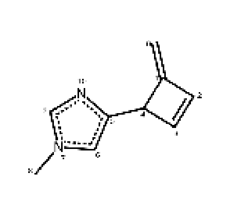 C=C1C=CC1c1cn(C)cn1